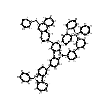 c1ccc(Cc2cc3ccc(-c4ccc5c(c4)c4cc(-c6ccc7c(c6)c6ccccc6n7-c6ccccc6)ccc4n5-c4cccc(-c5cccc([Si](c6ccccc6)(c6ccccc6)c6ccccc6)c5)c4)cc3c3ccccc23)cc1